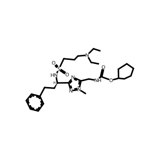 CCN(CC)CCCS(=O)(=O)N[C@H](CCc1ccccc1)c1nc(CNC(=O)OC2CCCCC2)n(C)n1